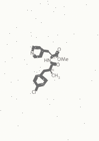 COC(=O)[C@H](Cc1ccncc1)NC(=O)[C@@H](C)Cc1ccc(Cl)cc1